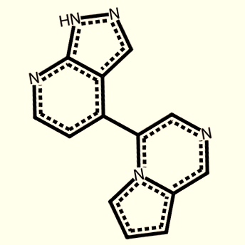 c1cc2cncc(-c3ccnc4[nH]ncc34)n2c1